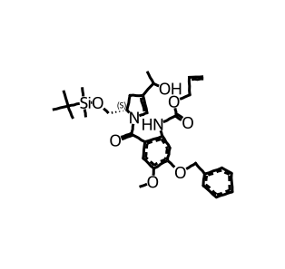 C=CCOC(=O)Nc1cc(OCc2ccccc2)c(OC)cc1C(=O)N1C=C(C(C)O)C[C@H]1CO[Si](C)(C)C(C)(C)C